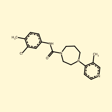 Cc1ccc(NC(=O)N2CCCN(c3ccncc3C)CC2)cc1Cl